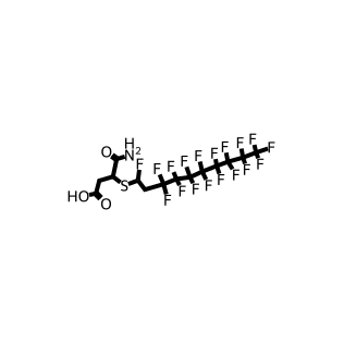 NC(=O)C(CC(=O)O)SC(F)CC(F)(F)C(F)(F)C(F)(F)C(F)(F)C(F)(F)C(F)(F)C(F)(F)C(F)(F)F